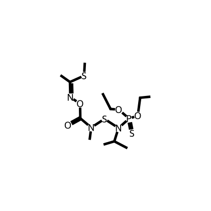 CCOP(=S)(OCC)N(SN(C)C(=O)ON=C(C)SC)C(C)C